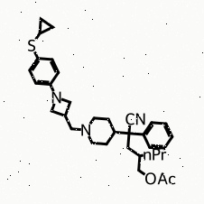 CCCC(COC(C)=O)CC(C#N)(c1ccccc1)C1CCN(CC2CN(c3ccc(SC4CC4)cc3)C2)CC1